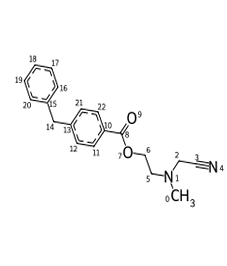 CN(CC#N)CCOC(=O)c1ccc(Cc2ccccc2)cc1